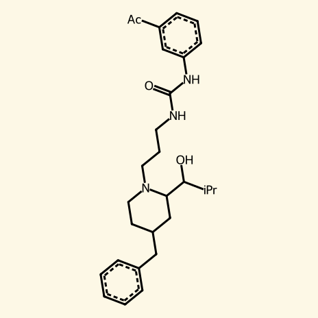 CC(=O)c1cccc(NC(=O)NCCCN2CCC(Cc3ccccc3)CC2C(O)C(C)C)c1